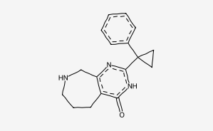 O=c1[nH]c(C2(c3ccccc3)CC2)nc2c1CCCNC2